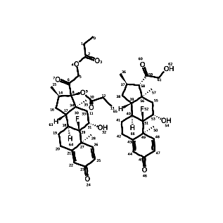 CCC(=O)OCC(=O)[C@@]1(OC(=O)CC)[C@H](C)C[C@H]2[C@@H]3CCC4=CC(=O)C=C[C@]4(C)[C@@]3(F)[C@@H](O)C[C@@]21C.C[C@@H]1C[C@H]2[C@@H]3CCC4=CC(=O)C=C[C@]4(C)[C@@]3(F)[C@@H](O)C[C@]2(C)[C@H]1C(=O)CO